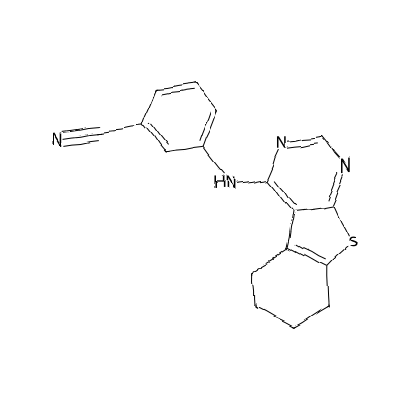 N#Cc1cccc(Nc2ncnc3sc4c(c23)CCCC4)c1